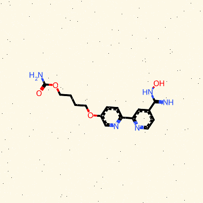 N=C(NO)c1ccnc(-c2ccc(OCCCCOC(N)=O)cn2)c1